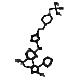 C[C@@H]1Cc2nn(C)c(-c3ccccc3)c2-c2nc(Nc3ccn(CCN4CCN(CC(C)(C)O)CC4)n3)ncc21